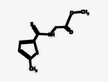 COC(=O)CNC(=S)c1ccc(C)s1